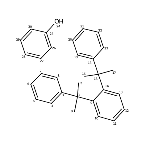 CC(C)(c1ccccc1)c1ccccc1C(C)(C)c1ccccc1.Oc1ccccc1